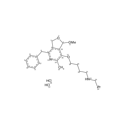 COC1OCc2c(Cc3ccccc3)nc(C)c(OCCCCNCC(C)C)c21.Cl.Cl